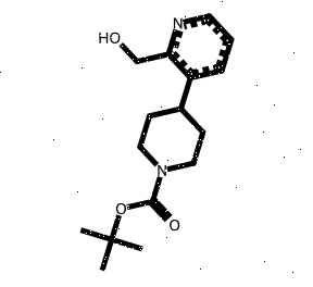 CC(C)(C)OC(=O)N1CCC(c2cccnc2CO)CC1